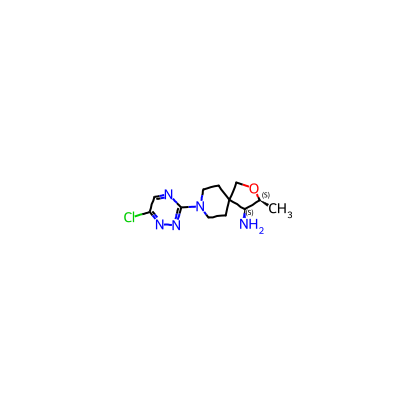 C[C@@H]1OCC2(CCN(c3ncc(Cl)nn3)CC2)[C@@H]1N